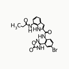 CCC(=O)Nc1cccc2cc(C(=O)Nc3ccc(Br)cc3-c3noc(=O)[nH]3)[nH]c12